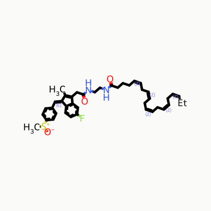 CC/C=C\C/C=C\C/C=C\C/C=C\C/C=C\CCCC(=O)NCCNC(=O)CC1=C(C)/C(=C/c2ccc([S+](C)[O-])cc2)c2ccc(F)cc21